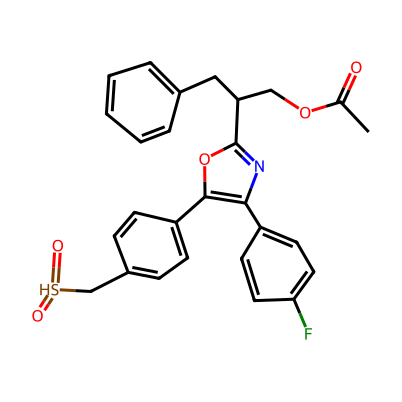 CC(=O)OCC(Cc1ccccc1)c1nc(-c2ccc(F)cc2)c(-c2ccc(C[SH](=O)=O)cc2)o1